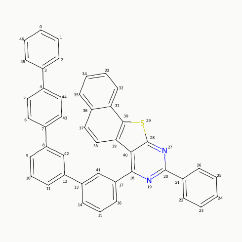 c1ccc(-c2ccc(-c3cccc(-c4cccc(-c5nc(-c6ccccc6)nc6sc7c8ccccc8ccc7c56)c4)c3)cc2)cc1